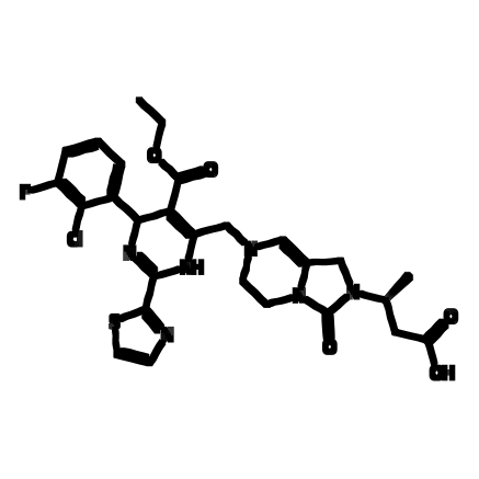 CCOC(=O)C1=C(CN2C=C3CN([C@@H](C)CC(=O)O)C(=O)N3CC2)NC(c2nccs2)=NC1c1cccc(F)c1Cl